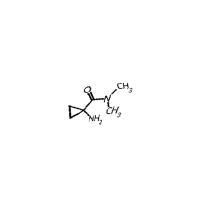 CN(C)C(=O)C1(N)CC1